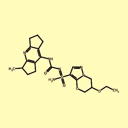 CCOC1COc2c(S(N)(=O)=NC(=O)Nc3c4c(nc5c3CCC5C)CCC4)cnn2C1